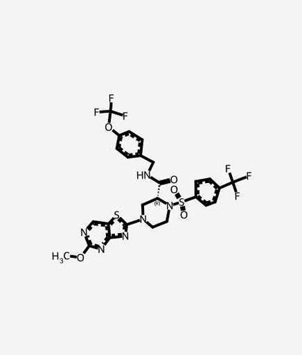 COc1ncc2sc(N3CCN(S(=O)(=O)c4ccc(C(F)(F)F)cc4)[C@@H](C(=O)NCc4ccc(OC(F)(F)F)cc4)C3)nc2n1